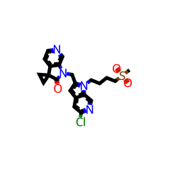 CS(=O)(=O)CCCCn1c(CN2C(=O)C3(CC3)c3ccncc32)cc2cc(Cl)ncc21